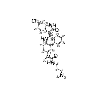 CN(C)CCCNC(=O)N(C)c1ccc(NC(=C2C(=O)Nc3cc(Cl)ccc32)c2ccccc2)cc1